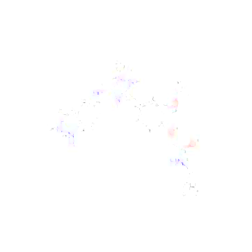 CCNC(=O)COc1ccc(-c2nc(Nc3ccc4[nH]ncc4c3)n(C)n2)cc1OC